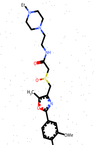 CCN1CCN(CCNC(=O)C[S+]([O-])Cc2nc(-c3ccc(OC)c(OC)c3)oc2C)CC1